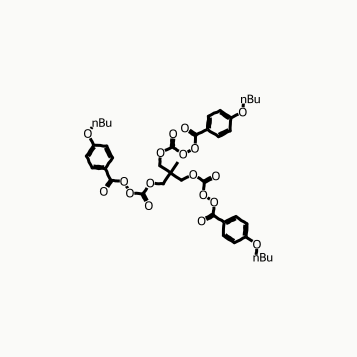 CCCCOc1ccc(C(=O)OOC(=O)OCC(C)(COC(=O)OOC(=O)c2ccc(OCCCC)cc2)COC(=O)OOC(=O)c2ccc(OCCCC)cc2)cc1